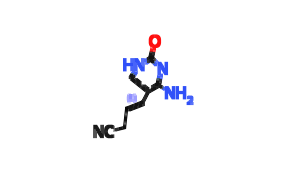 N#CC/C=C/c1c[nH]c(=O)nc1N